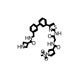 CS(=O)(=O)n1ccc(C(=O)NCC(=O)Nc2nc(-c3cccc(-c4cccc(CNC(=O)C5CNC5)c4)c3)cs2)c1